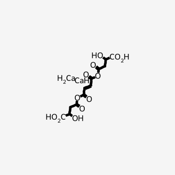 O=C(/C=C/C(=O)OC(=O)CC(O)C(=O)O)OC(=O)CC(O)C(=O)O.[CaH2].[CaH2]